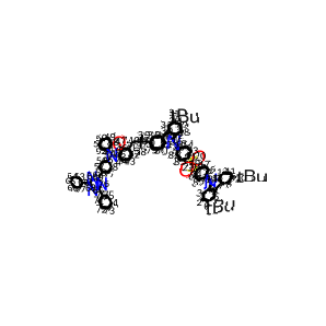 CC(C)(C)c1ccc2c(c1)c1cc(C(C)(C)C)ccc1n2-c1ccc(S(=O)(=O)c2ccc(-n3c4ccc(C(C)(C)C)cc4c4cc(C(C)(C)Cc5cccc6c5Oc5ccccc5N6c5ccc(-c6nc(-c7ccccc7)nc(-c7ccccc7)n6)cc5)ccc43)cc2)cc1